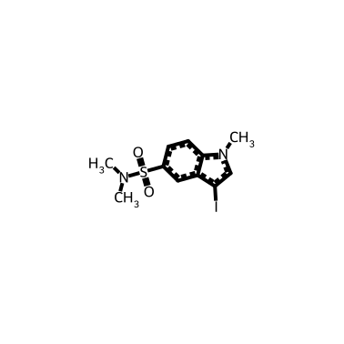 CN(C)S(=O)(=O)c1ccc2c(c1)c(I)cn2C